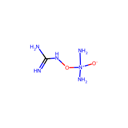 N=C(N)NO[N+](N)(N)[O-]